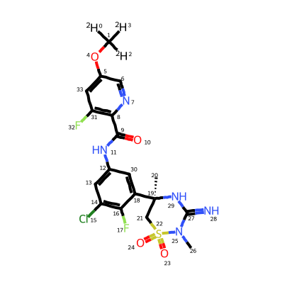 [2H]C([2H])([2H])Oc1cnc(C(=O)Nc2cc(Cl)c(F)c([C@]3(C)CS(=O)(=O)N(C)C(=N)N3)c2)c(F)c1